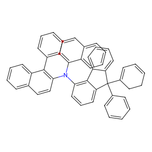 C1=CCCC(C2(c3ccccc3)c3ccccc3-c3c(N(c4ccc5ccccc5c4-c4ccccc4)c4cccc5ccccc45)cccc32)=C1